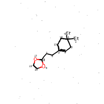 CCC1(CC)CC=C(CCC2OCCO2)CC1